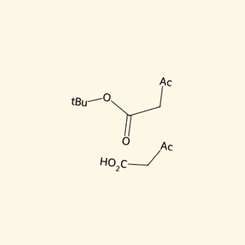 CC(=O)CC(=O)O.CC(=O)CC(=O)OC(C)(C)C